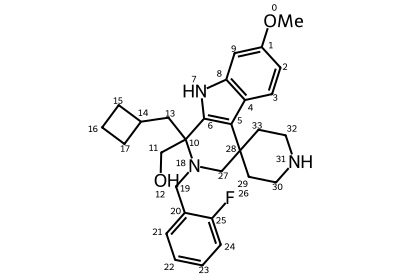 COc1ccc2c3c([nH]c2c1)C(CO)(CC1CCC1)N(Cc1ccccc1F)CC31CCNCC1